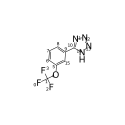 FC(F)(F)Oc1cccc(-c2nnn[nH]2)c1